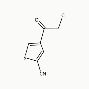 N#Cc1cc(C(=O)CCl)cs1